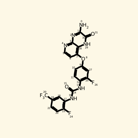 Nc1nc2nccc(Oc3ccc(NC(=O)Nc4cc(C(F)(F)F)ccc4F)c(F)c3)c2[nH]c1=O